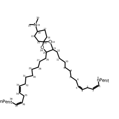 CCCCC/C=C\C/C=C\CCCCCCCC1OC2(CCC(N(C)C)CC2)OC1CCCCCCC/C=C\C/C=C\CCCCC